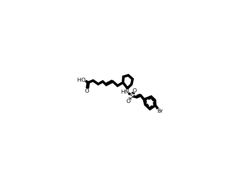 O=C(O)CCCC=CCC1CCCCC1NS(=O)(=O)C=Cc1ccc(Br)cc1